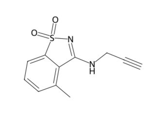 C#CCNC1=NS(=O)(=O)c2cccc(C)c21